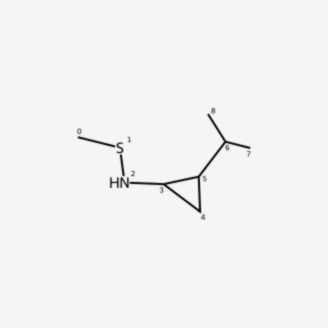 CSNC1CC1C(C)C